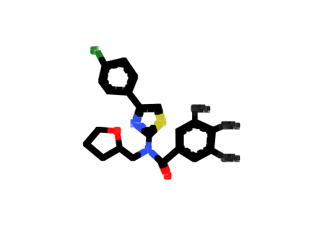 COc1cc(C(=O)N(CC2CCCO2)c2nc(-c3ccc(Cl)cc3)cs2)cc(OC)c1OC